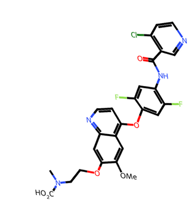 COc1cc2c(Oc3cc(F)c(NC(=O)c4cnccc4Cl)cc3F)ccnc2cc1OCCN(C)C(=O)O